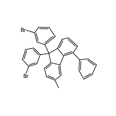 Cc1ccc2c(c1)-c1c(-c3ccccc3)cccc1C2(c1cccc(Br)c1)c1cccc(Br)c1